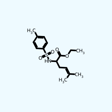 CCOC(=O)C(CC=C(C)C)NS(=O)(=O)c1ccc(C)cc1